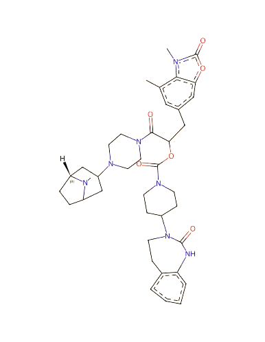 Cc1cc(CC(OC(=O)N2CCC(N3CCc4ccccc4NC3=O)CC2)C(=O)N2CCN(C3CC4CC[C@H](C3)N4C)CC2)cc2oc(=O)n(C)c12